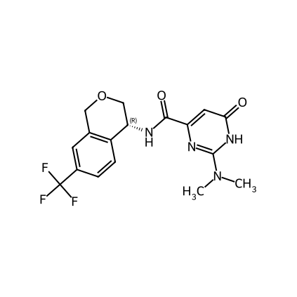 CN(C)c1nc(C(=O)N[C@H]2COCc3cc(C(F)(F)F)ccc32)cc(=O)[nH]1